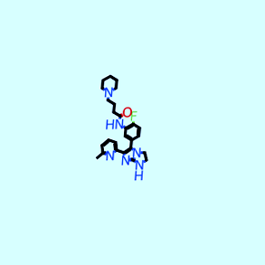 Cc1cccc(-c2nc3n(c2-c2ccc(F)c(NC(=O)CCCN4CCCCC4)c2)CCN3)n1